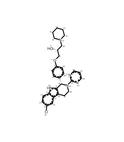 O[C@@H](COc1ccc([C@H]2c3[nH]c4ccc(Cl)cc4c3CCN2c2ncccn2)cc1)CN1CCCCC1